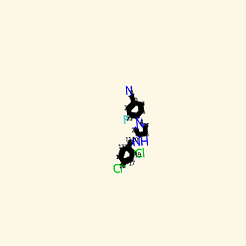 N#Cc1ccc(N2CCC(NCc3ccc(Cl)cc3Cl)C2)c(F)c1